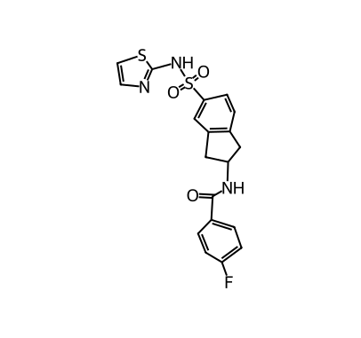 O=C(NC1Cc2ccc(S(=O)(=O)Nc3nccs3)cc2C1)c1ccc(F)cc1